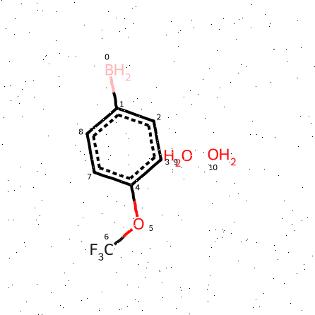 Bc1ccc(OC(F)(F)F)cc1.O.O